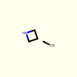 C1CNC1.CC#N